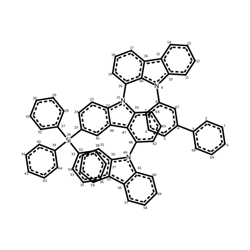 c1ccc(-c2cccc(-n3c4ccccc4c4cccc(-n5c6ccc([Si](c7ccccc7)(c7ccccc7)c7ccccc7)cc6c6c(-n7c8ccccc8c8ccccc87)cccc65)c43)c2)cc1